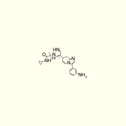 CC(C)(N/C=C(\C=N)C1C=Cn2c(-c3cccc(N)c3)cnc2C1)C(=O)NC1CC1